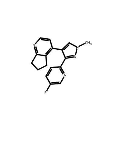 Cn1cc(-c2ccnc3c2CCC3)c(-c2ccc(F)cn2)n1